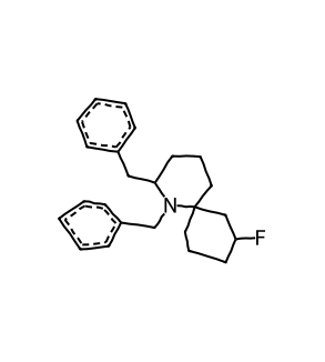 FC1CCCC2(CCCC(Cc3ccccc3)N2Cc2ccccc2)C1